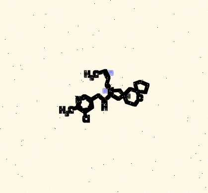 C/C=C\C=N/C[C@]1(CCNCc2cnc(C)c(Cl)c2)CCOC2(CCCC2)C1